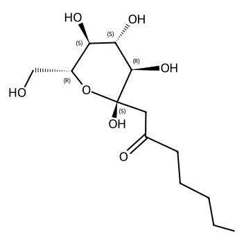 CCCCCC(=O)C[C@]1(O)O[C@H](CO)[C@@H](O)[C@H](O)[C@H]1O